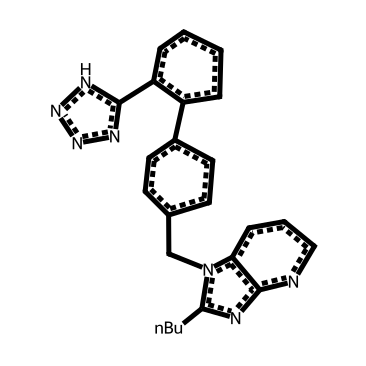 CCCCc1nc2ncccc2n1Cc1ccc(-c2ccccc2-c2nnn[nH]2)cc1